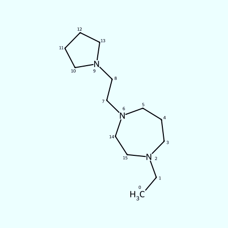 CCN1CCCN(CCN2CCCC2)CC1